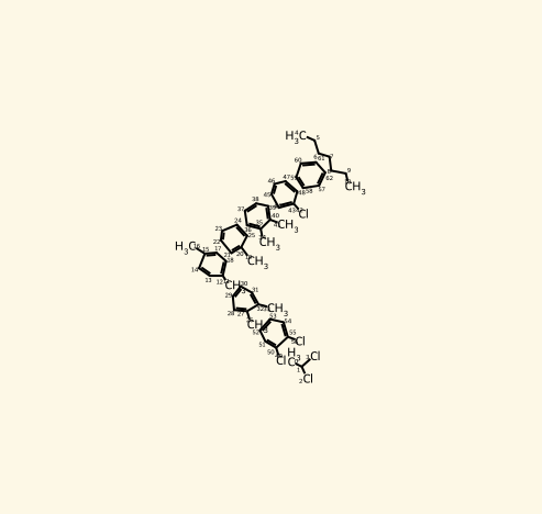 CC(Cl)Cl.CCCCCCC.Cc1ccc(C)cc1.Cc1ccccc1.Cc1ccccc1C.Cc1ccccc1C.Clc1ccccc1.Clc1ccccc1Cl.c1ccccc1